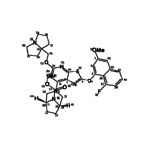 COc1cc(Oc2nc3c(N4C[C@H]5CC[C@@H](C4)N5C(=O)OC(C)(C)C)nc(OCC45CCCN4CCC5)nc3s2)c2c(F)cccc2c1